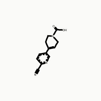 N#Cc1ccc(C2=CCN(C(=O)O)CC2)cn1